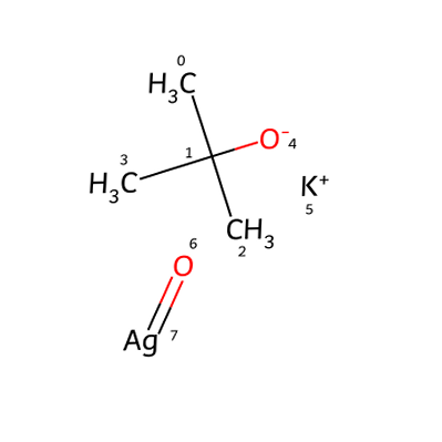 CC(C)(C)[O-].[K+].[O]=[Ag]